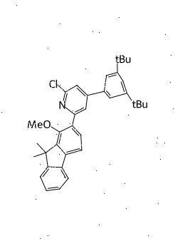 COc1c(-c2cc(-c3cc(C(C)(C)C)cc(C(C)(C)C)c3)cc(Cl)n2)ccc2c1C(C)(C)c1ccccc1-2